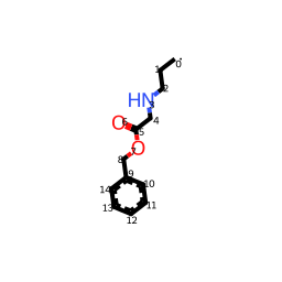 [CH2]CCNCC(=O)OCc1ccccc1